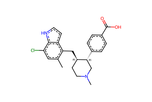 Cc1cc(Cl)c2[nH]ccc2c1C[C@@H]1CCN(C)C[C@H]1c1ccc(C(=O)O)cc1